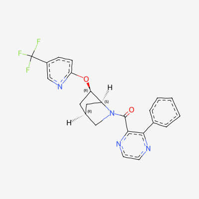 O=C(c1nccnc1-c1ccccc1)N1C[C@H]2C[C@@H](Oc3ccc(C(F)(F)F)cn3)[C@@H]1C2